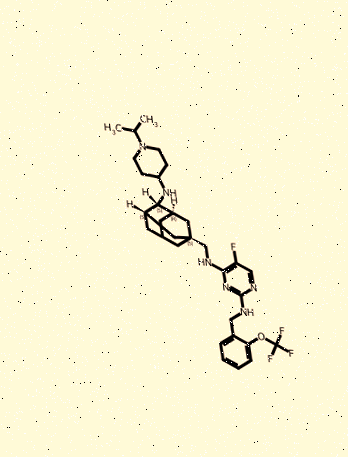 CC(C)N1CCC(N[C@@H]2[C@@H]3CC4C[C@H]2C[C@@](CNc2nc(NCc5ccccc5OC(F)(F)F)ncc2F)(C4)C3)CC1